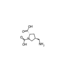 NC[C@@H]1C[C@@H](C(=O)O)N(C(=O)O)C1